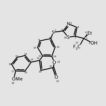 CC[C@](O)(c1cnc(Sc2ccc3c(-c4cccc(OC)c4)cc(=O)oc3c2)s1)C(F)(F)F